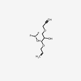 C#CCOCC(O)COCC=C.OP(F)F